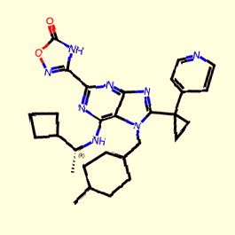 CC1CCC(Cn2c(C3(c4ccncc4)CC3)nc3nc(-c4noc(=O)[nH]4)nc(N[C@H](C)C4CCC4)c32)CC1